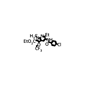 CCOC(=O)c1c(OCC(F)(F)F)c2cc(NC(=O)c3ccc(Cl)cc3)c(CC)nc2n1C